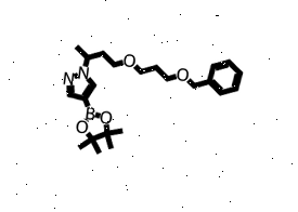 CC(CCOCCCOCc1ccccc1)n1cc(B2OC(C)(C)C(C)(C)O2)cn1